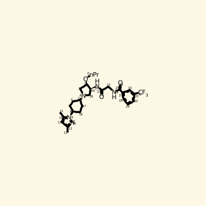 CCCO[C@@H]1CN(C2CCC(n3nc(C)cc3C)CC2)C[C@@H]1NC(=O)CNC(=O)c1cccc(C(F)(F)F)c1